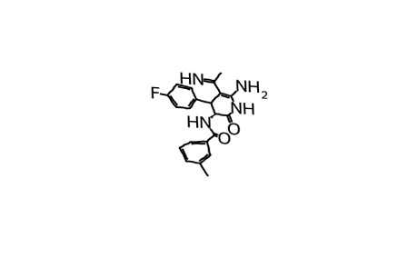 CC(=N)C1=C(N)NC(=O)[C@@H](NC(=O)c2cccc(C)c2)C1c1ccc(F)cc1